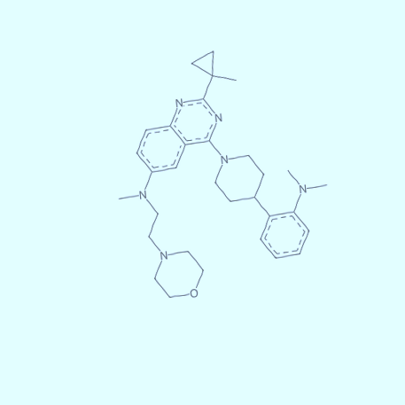 CN(C)c1ccccc1C1CCN(c2nc(C3(C)CC3)nc3ccc(N(C)CCN4CCOCC4)cc23)CC1